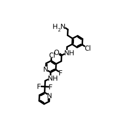 NCCc1ccc(Cl)cc1CNC(=O)Cc1c(Cl)cnc(NCC(F)(F)c2ccccn2)c1F